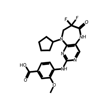 COc1cc(C(=O)O)ccc1Nc1ncc2c(n1)N(C1CCCC1)CC(F)(F)C(=O)N2